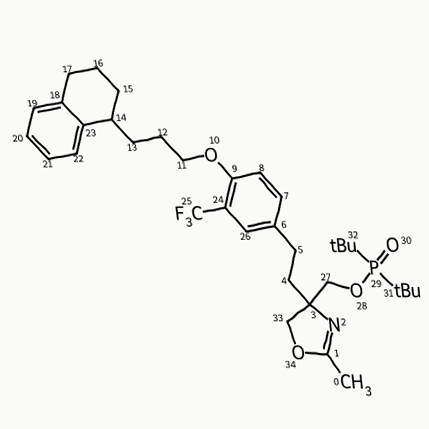 CC1=NC(CCc2ccc(OCCCC3CCCc4ccccc43)c(C(F)(F)F)c2)(COP(=O)(C(C)(C)C)C(C)(C)C)CO1